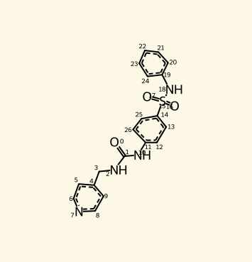 O=C(NCc1ccncc1)Nc1ccc(S(=O)(=O)Nc2ccccc2)cc1